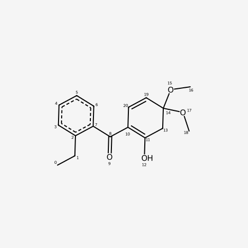 CCc1ccccc1C(=O)C1=C(O)CC(OC)(OC)C=C1